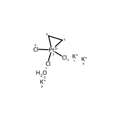 O.[Cl][Pt-3]1([Cl])([Cl])[CH2][CH2]1.[K+].[K+].[K+]